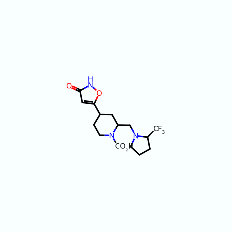 O=C(O)N1CCC(c2cc(=O)[nH]o2)CC1CN1CCCC1C(F)(F)F